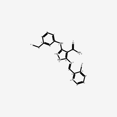 NC(=O)c1c(Nc2cccc(CI)c2)n[nH]c1/N=C/c1ncccc1F